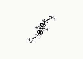 C=CCOC(=O)C1=CC=C(C(O)(c2ccccc2)C(O)(c2ccccc2)c2ccc(C(=O)OCC=C)cc2)CC1